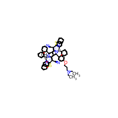 CCN(CC)CCCOc1ccc(-c2c3/c(=C(\C#N)c4nc5ccccc5s4)n(B(c4ccccc4)c4ccccc4)c(-c4ccccc4C)c3/c(=C(\C#N)c3nc4ccccc4s3)n2B(c2ccccc2)c2ccccc2)cc1